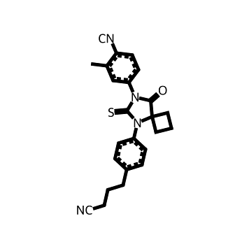 [C-]#[N+]c1ccc(N2C(=O)C3(CCC3)N(c3ccc(CCCC#N)cc3)C2=S)cc1C